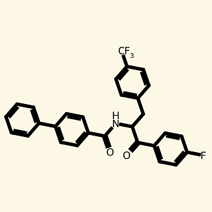 O=C(NC(Cc1ccc(C(F)(F)F)cc1)C(=O)c1ccc(F)cc1)c1ccc(-c2ccccc2)cc1